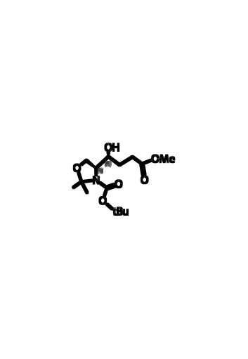 COC(=O)CC[C@H](O)[C@@H]1COC(C)(C)N1C(=O)OC(C)(C)C